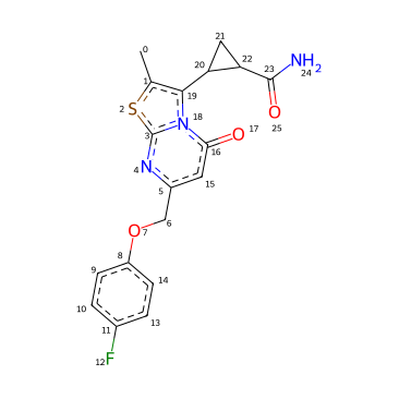 Cc1sc2nc(COc3ccc(F)cc3)cc(=O)n2c1C1CC1C(N)=O